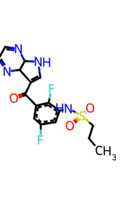 CCCS(=O)(=O)Nc1cc(F)cc(C(=O)C2=CNC3N=CC=NC23)c1F